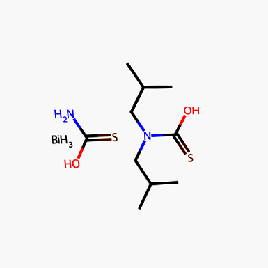 CC(C)CN(CC(C)C)C(O)=S.NC(O)=S.[BiH3]